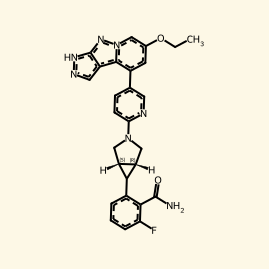 CCOc1cc(-c2ccc(N3C[C@@H]4C(c5cccc(F)c5C(N)=O)[C@@H]4C3)nc2)c2c3cn[nH]c3nn2c1